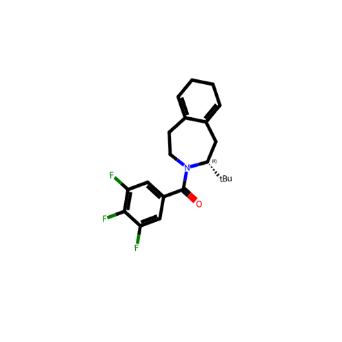 CC(C)(C)[C@H]1CC2=CCCC=C2CCN1C(=O)c1cc(F)c(F)c(F)c1